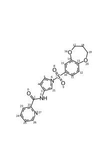 O=C(Nc1ccn(S(=O)(=O)c2ccc3c(c2)OCCCO3)c1)c1ccccn1